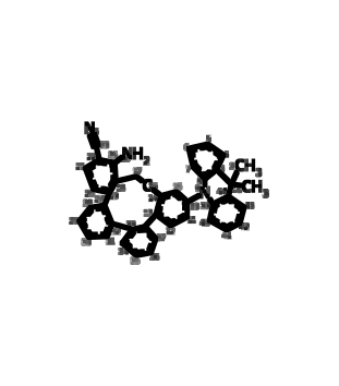 CC1(C)c2ccccc2N(c2ccc3c(c2)CCc2c(ccc(C#N)c2N)-c2ccccc2-c2ccccc2-3)c2ccccc21